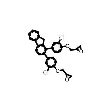 Clc1cc(-c2ccc3c(c2-c2ccc(OCC4CO4)c(Cl)c2)Cc2ccccc2-3)ccc1OCC1CO1